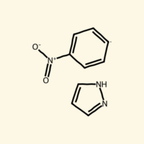 O=[N+]([O-])c1cc[c]cc1.c1cn[nH]c1